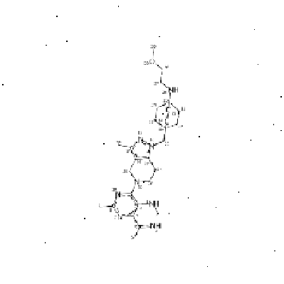 CNc1c(C(C)=N)nc(C)nc1N1CCc2c(c(C)nn2CC23CCC(NCCOC)(CC2)CC3)C1